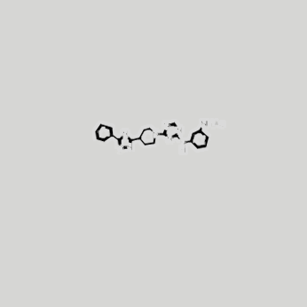 CC(=O)Nc1cccc(Nc2ncnc(N3CCC(c4noc(-c5ccccc5)n4)CC3)n2)c1